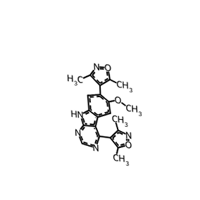 COc1cc2c(cc1-c1c(C)noc1C)[nH]c1ncnc(-c3c(C)noc3C)c12